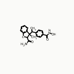 CC(c1ccc(C(=O)NO)cc1)C1(C)c2ccccc2OC1C(N)=O